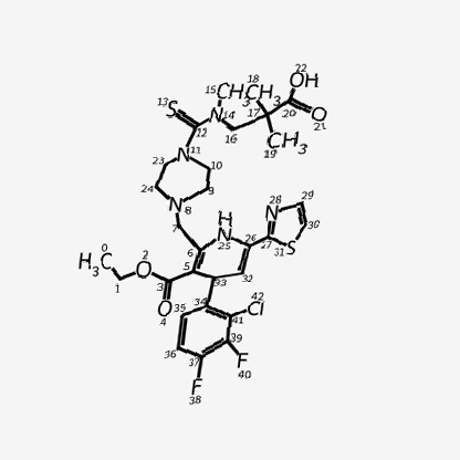 CCOC(=O)C1=C(CN2CCN(C(=S)N(C)CC(C)(C)C(=O)O)CC2)NC(c2nccs2)=CC1c1ccc(F)c(F)c1Cl